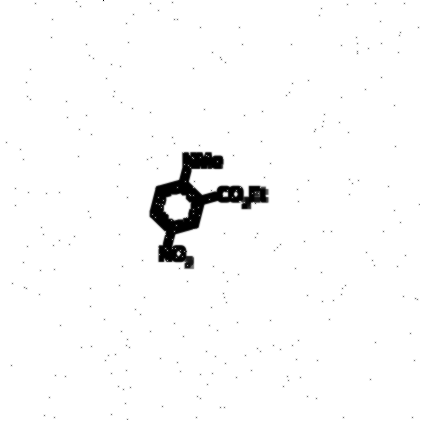 CCOC(=O)c1cc([N+](=O)[O-])ccc1NC